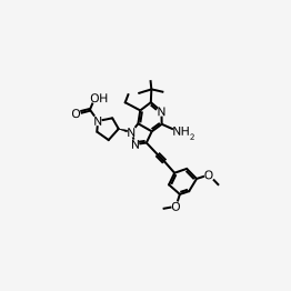 CCc1c(C(C)(C)C)nc(N)c2c(C#Cc3cc(OC)cc(OC)c3)nn([C@H]3CCN(C(=O)O)C3)c12